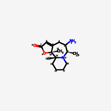 C[C@H]1C(N)CC2=CC(=O)O[C@]2(C)[C@H]2CCCCN12